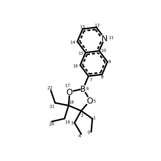 CCC1(CC)OB(c2ccc3ncccc3c2)OC1(CC)CC